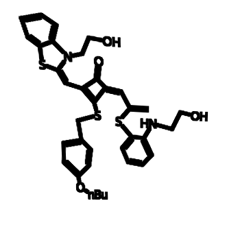 C=C(/C=C1/C(=O)C(/C=C2/Sc3ccccc3N2CCO)=C1SCc1ccc(OCCCC)cc1)Sc1ccccc1NCCO